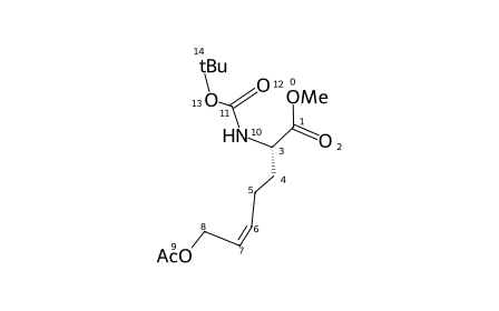 COC(=O)[C@H](CC/C=C\COC(C)=O)NC(=O)OC(C)(C)C